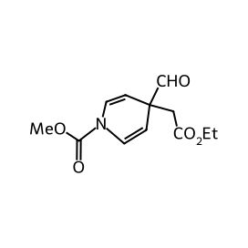 CCOC(=O)CC1(C=O)C=CN(C(=O)OC)C=C1